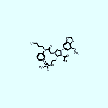 CCCCN(C(=O)CN1C[C@H](c2cc(OC)c3c(c2)OCO3)[C@@H](C(=O)O)[C@@H]1CCNS(C)(=O)=O)c1ccc[n+](C)c1